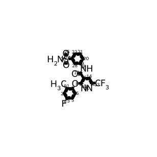 Cc1cc(F)ccc1Oc1nnc(C(F)(F)F)cc1C(=O)Nc1cccc(S(N)(=O)=O)c1